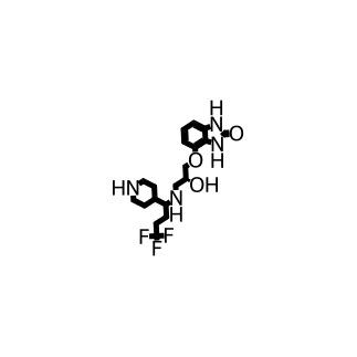 O=c1[nH]c2cccc(OC[C@@H](O)CNC(CCC(F)(F)F)C3CCNCC3)c2[nH]1